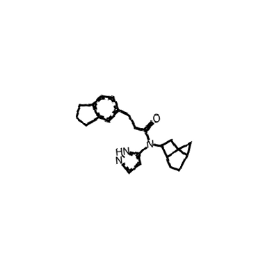 O=C(CCc1ccc2c(c1)CCC2)N(c1ccn[nH]1)C1CC23CC2CCC13